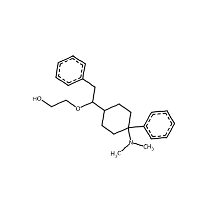 CN(C)C1(c2ccccc2)CCC(C(Cc2ccccc2)OCCO)CC1